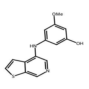 COc1cc(O)cc(Nc2cncc3sccc23)c1